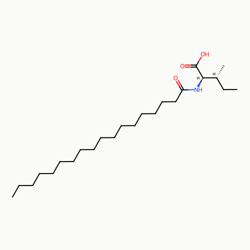 CCCCCCCCCCCCCCCCCC(=O)N[C@@H](C(=O)O)[C@H](C)CC